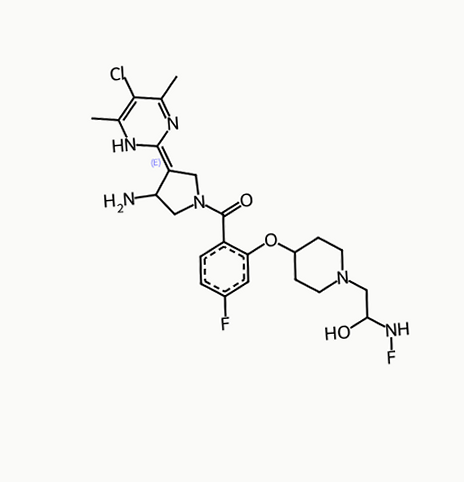 CC1=N/C(=C2\CN(C(=O)c3ccc(F)cc3OC3CCN(CC(O)NF)CC3)CC2N)NC(C)=C1Cl